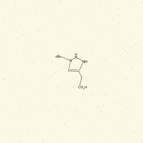 CCCCN1C=C(CC(=O)O)NN1